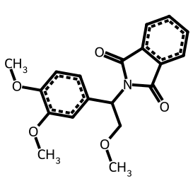 COCC(c1ccc(OC)c(OC)c1)N1C(=O)c2ccccc2C1=O